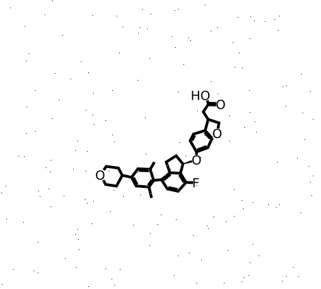 Cc1cc(C2CCOCC2)cc(C)c1-c1ccc(F)c2c1CC[C@H]2Oc1ccc2c(c1)OCC2CC(=O)O